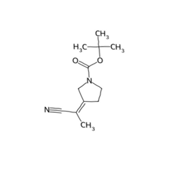 C/C(C#N)=C1\CCN(C(=O)OC(C)(C)C)C1